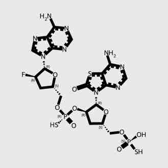 Nc1ncnc2c1ncn2[C@@H]1O[C@H](CO[P@@](=O)(S)O[C@@H]2C[C@@H](CO[P@](=O)(O)S)O[C@H]2n2c(=O)sc3c(N)ncnc32)C[C@H]1F